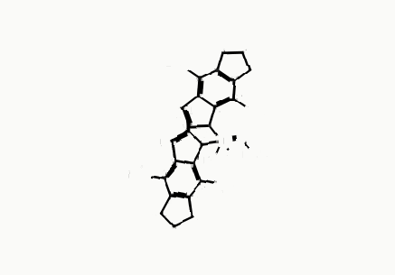 CCCC[SiH]=[Hf]([CH3])([CH3])([CH]1C(C)=Cc2c(C)c3c(c(C)c21)CCC3)[CH]1C(C)=Cc2c(C)c3c(c(C)c21)CCC3